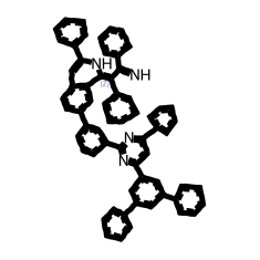 N=C(/C(=C1\NC(c2ccccc2)=Cc2ccc(-c3cccc(-c4nc(-c5ccccc5)cc(-c5cc(-c6ccccc6)cc(-c6ccccc6)c5)n4)c3)cc21)c1ccccc1)c1ccccc1